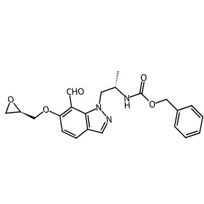 C[C@@H](Cn1ncc2ccc(OC[C@H]3CO3)c(C=O)c21)NC(=O)OCc1ccccc1